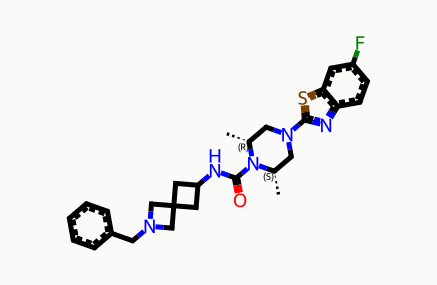 C[C@@H]1CN(c2nc3ccc(F)cc3s2)C[C@H](C)N1C(=O)NC1CC2(C1)CN(Cc1ccccc1)C2